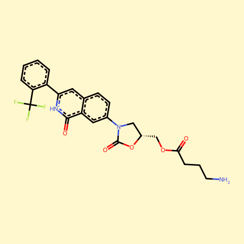 NCCCC(=O)OC[C@H]1CN(c2ccc3cc(-c4ccccc4C(F)(F)F)[nH]c(=O)c3c2)C(=O)O1